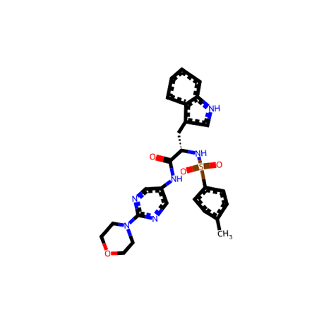 Cc1ccc(S(=O)(=O)N[C@@H](Cc2c[nH]c3ccccc23)C(=O)Nc2cnc(N3CCOCC3)nc2)cc1